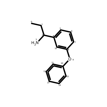 CCC(N)c1cccc(OC2=C=C=CC=C2)c1